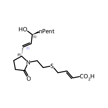 CCCCC[C@H](O)/C=C/[C@H]1CCC(=O)N1CCSCC=CC(=O)O